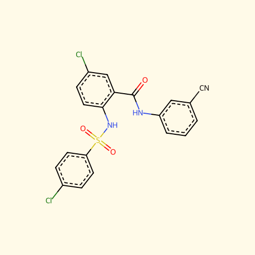 N#Cc1cccc(NC(=O)c2cc(Cl)ccc2NS(=O)(=O)c2ccc(Cl)cc2)c1